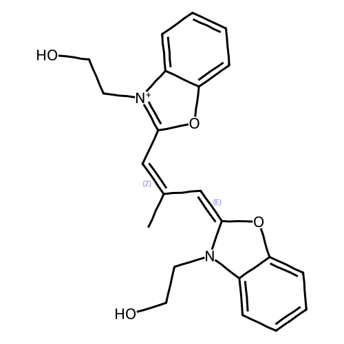 CC(=C/c1oc2ccccc2[n+]1CCO)/C=C1/Oc2ccccc2N1CCO